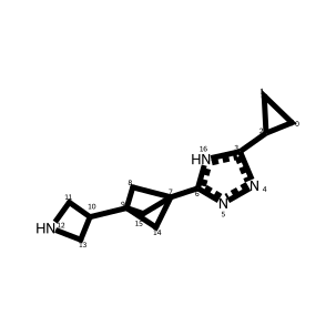 C1CC1c1nnc(C23CC(C4CNC4)(C2)C3)[nH]1